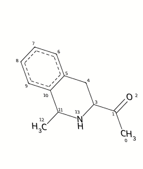 CC(=O)C1Cc2ccccc2C(C)N1